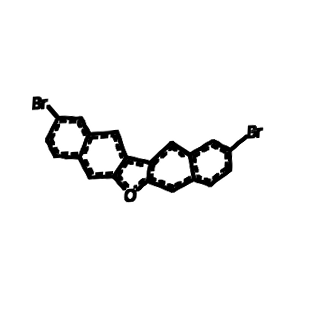 Brc1ccc2cc3oc4cc5ccc(Br)cc5cc4c3cc2c1